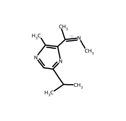 C/N=C(/C)c1nc(C(C)C)cnc1C